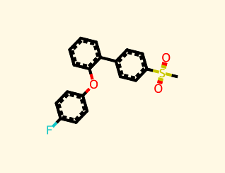 CS(=O)(=O)c1ccc(-c2ccccc2Oc2ccc(F)cc2)cc1